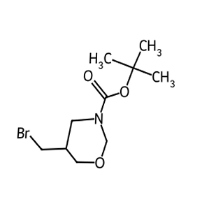 CC(C)(C)OC(=O)N1COCC(CBr)C1